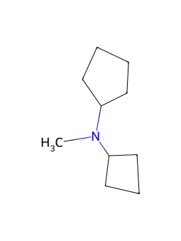 CN(C1CCCC1)C1CCC1